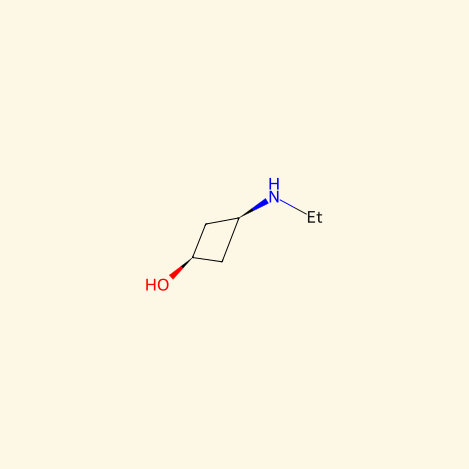 CCN[C@H]1C[C@@H](O)C1